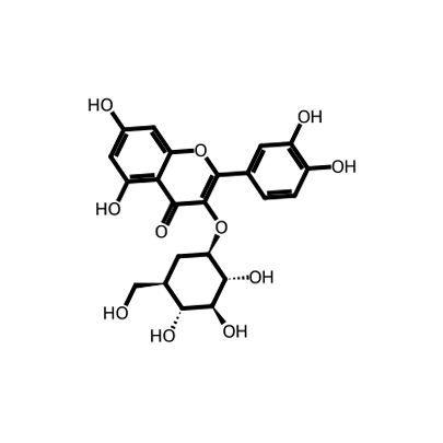 O=c1c(O[C@@H]2C[C@H](CO)[C@@H](O)[C@H](O)[C@H]2O)c(-c2ccc(O)c(O)c2)oc2cc(O)cc(O)c12